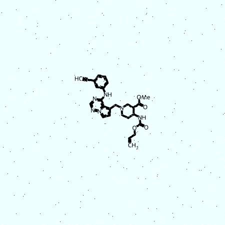 C#Cc1cccc(Nc2ncnn3ccc(CN4CCC(NC(=O)OCC=C)C(C(=O)OC)C4)c23)c1